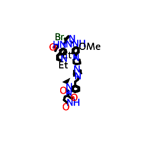 CCc1ccc2c(P(C)(C)=O)c(Nc3nc(Nc4cc(CC)c(N5CCC(N6CCN(CCc7cccc8c7n(C7CC7)c(=O)n8C7CCC(=O)NC7=O)CC6)CC5)cc4OC)ncc3Br)ccc2n1